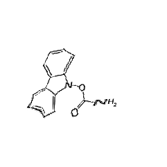 NC(=O)On1c2ccccc2c2ccccc21